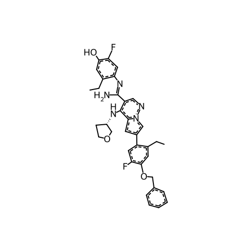 CCc1cc(O)c(F)cc1/N=C(\N)c1cnn2cc(-c3cc(F)c(OCc4ccccc4)cc3CC)cc2c1N[C@H]1CCOC1